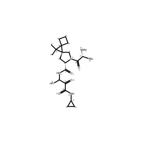 CCCC(NC(=O)[C@@H]1C[C@@]2(CN1C(=O)[C@H](NC)C(C)(C)C)C(C)(C)C21CCC1)C(=O)C(=O)NC1CC1